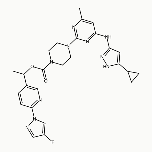 Cc1cc(Nc2cc(C3CC3)[nH]n2)nc(N2CCN(C(=O)OC(C)c3ccc(-n4cc(F)cn4)nc3)CC2)n1